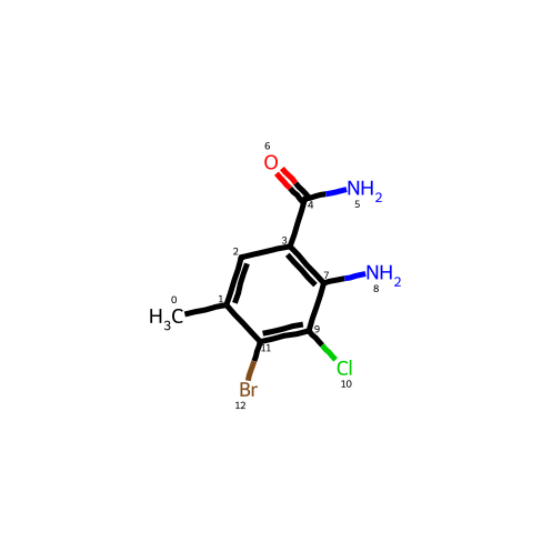 Cc1cc(C(N)=O)c(N)c(Cl)c1Br